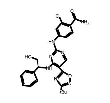 CC(C)(C)c1noc(-c2cnc(Nc3ccc(C(N)=O)c(Cl)c3)nc2N[C@H](CO)c2ccccc2)n1